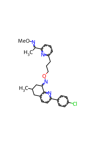 CO/N=C(\C)c1cccc(CCCO/N=C2\CC(C)Cc3ccc(-c4ccc(Cl)cc4)nc32)n1